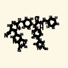 Cn1cc(-c2ccc(C(C(=O)NCc3ccccc3)[C@H]3CC[C@H](Cc4ncc(C#N)c(-c5cnc6c(c5)ncn6C)n4)CC3)nc2)cn1